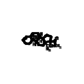 CC(=O)[C@@]1(O)CC[C@H]2[C@@H]3CC=C4C=CCC[C@]4(C)[C@H]3CC[C@@]21C